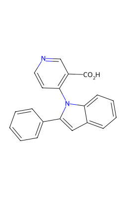 O=C(O)c1cnccc1-n1c(-c2ccccc2)cc2ccccc21